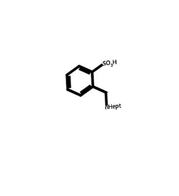 CCCCCCC[CH]c1ccccc1S(=O)(=O)O